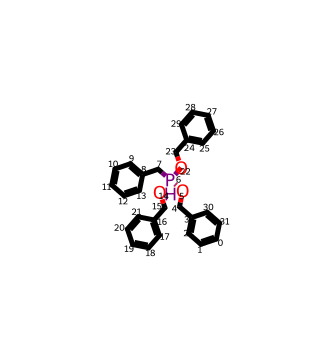 c1ccc(CO[PH](Cc2ccccc2)(OCc2ccccc2)OCc2ccccc2)cc1